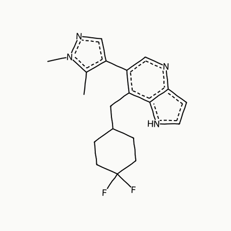 Cc1c(-c2cnc3cc[nH]c3c2CC2CCC(F)(F)CC2)cnn1C